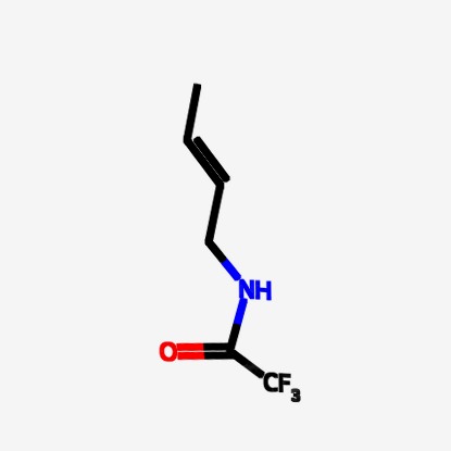 CC=CCNC(=O)C(F)(F)F